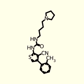 Cc1ccccc1-c1csc(NC(=O)NCCCCN2CCCC2)c1C#N